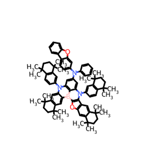 CC1(C)CCC(C)(C)c2cc(N3c4cc5c(cc4B4c6oc7cc8c(cc7c6N(c6ccc7c(c6)C(C)(C)CCC7(C)C)c6cc(N(c7ccccc7)c7ccc9c(c7)oc7ccccc79)cc3c64)C(C)(C)CCC8(C)C)C(C)(C)CCC5(C)C)ccc21